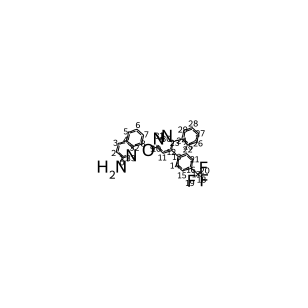 Nc1ccc2cccc(Oc3cc(-c4ccc(C(F)(F)F)cc4)c(-c4ccccc4)nn3)c2n1